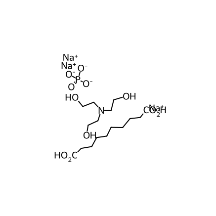 O=C(O)CCCCCCCCC(=O)O.O=P([O-])([O-])[O-].OCCN(CCO)CCO.[Na+].[Na+].[Na+]